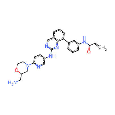 C=CC(=O)Nc1cccc(-c2cccc3cnc(Nc4ccc(N5CCO[C@H](CN)C5)nc4)nc23)c1